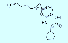 C=CCCC[C@H]1C[C@]1(C)OC(=O)N[C@H](C(=O)O)C1CCCC1